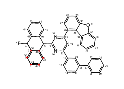 FC12c3ccccc3C(c3nc(-c4cccc(-c5ccccc5)c4)nc(-c4cccc5oc6ccccc6c45)n3)(c3ccccc31)c1ccccc12